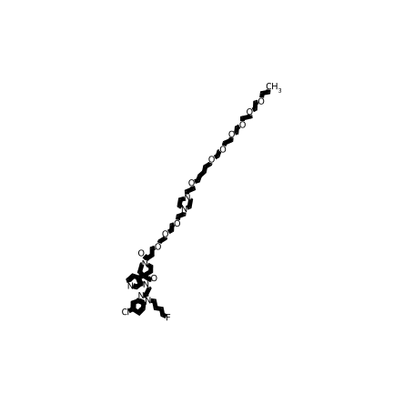 CCCOCCOCCOCCOCCOCCOCCCCCOCCN1CCN(CCOCCOCCOCCC(=O)N2CCC3(CC2)C(=O)N(Cc2nc4cc(Cl)ccc4n2CCCCF)c2cnccc23)CC1